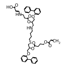 C=CC(=O)OCCCC(=O)OC(COc1ccccc1-c1ccccc1)CSCCCCNCC(COc1ccccc1-c1ccccc1)OC(=O)CCNC=CC(=O)O